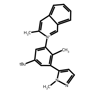 Cc1c(-c2ccnn2C)cc(C(C)(C)C)cc1-[n+]1cc2ccccc2cc1C